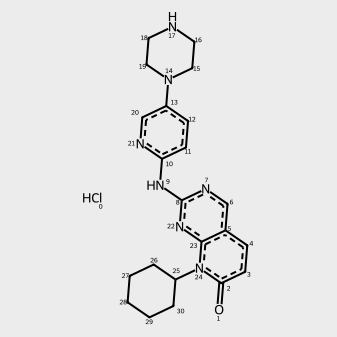 Cl.O=c1ccc2cnc(Nc3ccc(N4CCNCC4)cn3)nc2n1C1CCCCC1